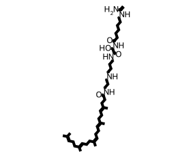 C=C(N)NCCCCCCC(=O)NC(O)C(=O)NCCCCNCCCNC(=O)CC/C(C)=C/CC/C(C)=C/CC/C=C(/C)CC/C=C(\C)CCC=C(C)C